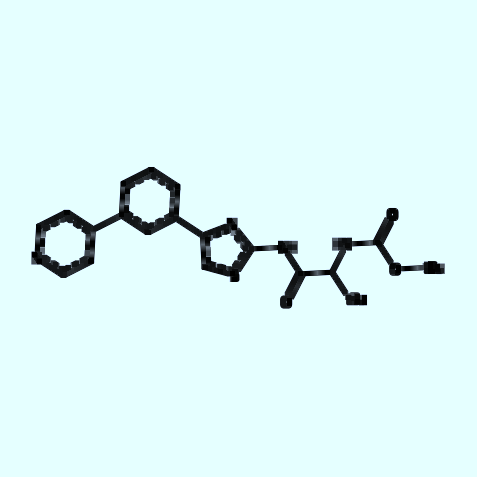 CC(C)(C)OC(=O)NC(C(=O)Nc1nc(-c2cccc(-c3ccncc3)c2)cs1)C(C)(C)C